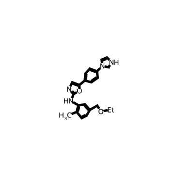 CCOCc1ccc(C)c(Nc2ncc(-c3ccc(N4C=CNC4)cc3)o2)c1